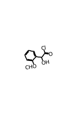 O=Cc1ccccc1C(O)C(=O)Cl